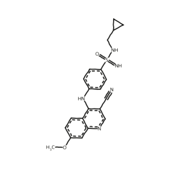 COc1ccc2c(Nc3ccc(S(=N)(=O)NCC4CC4)cc3)c(C#N)cnc2c1